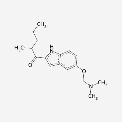 CCCC(C)C(=O)c1cc2cc(OCN(C)C)ccc2[nH]1